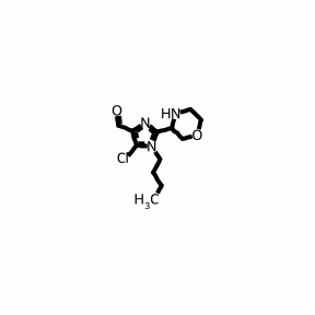 CCCCn1c(C2COCCN2)nc(C=O)c1Cl